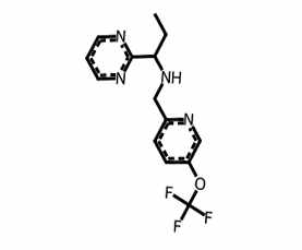 CCC(NCc1ccc(OC(F)(F)F)cn1)c1ncccn1